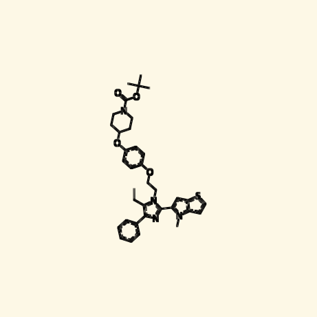 CCc1c(-c2ccccc2)nc(-c2cc3sccc3n2C)n1CCOc1ccc(OC2CCN(C(=O)OC(C)(C)C)CC2)cc1